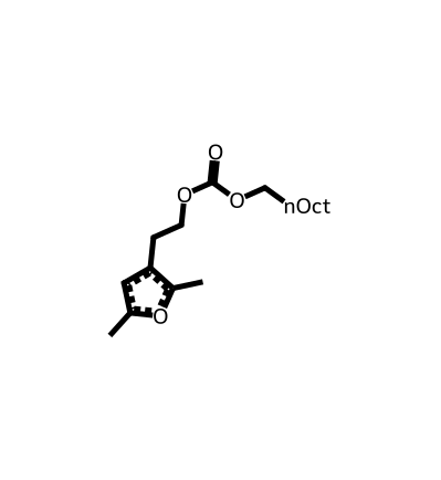 CCCCCCCCCOC(=O)OCCc1cc(C)oc1C